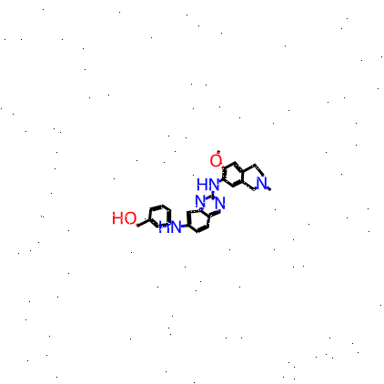 COc1cc2c(cc1Nc1ncc3ccc(Nc4cccc(CO)c4)cc3n1)CN(C)CC2